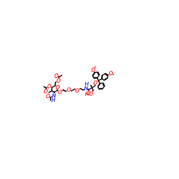 COc1ccc(C(OCC(C)(CO)C(=O)NCCOCCOCCOC2OC(COC(C)=O)C(OC(C)=O)C(C)C2NC(C)=O)(c2ccccc2)c2ccc(OC)cc2)cc1